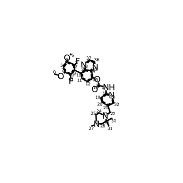 COc1cc(OC)c(F)c(-c2ccc(OC(=O)Nc3ccc(CN4CCN(C)CC4(C)C)cn3)c3nccnc23)c1F